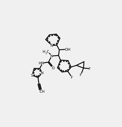 C#Cc1nc(NC(=O)N(C)C(c2ccc(F)c(C3CC3(F)F)c2)C(O)c2ccccn2)cs1